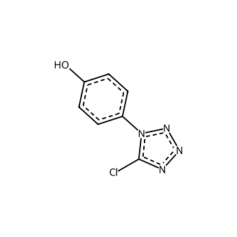 Oc1ccc(-n2nnnc2Cl)cc1